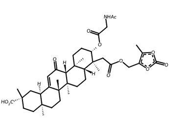 CC(=O)NCC(=O)O[C@H]1CC[C@@]2(C)[C@@H](CC[C@]3(C)[C@@H]2C(=O)C=C2[C@@H]4C[C@@](C)(C(=O)O)CC[C@]4(C)CC[C@]23C)[C@]1(C)CC(=O)OCc1oc(=O)oc1C